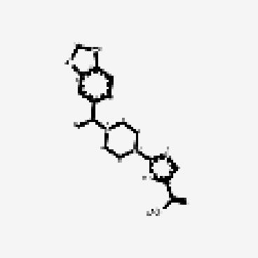 CNC(=O)c1csc(N2CCN(C(C)c3ccc4c(c3)OCO4)CC2)n1